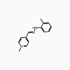 Cc1ccccc1NN=Cc1cc[n+](C)cc1